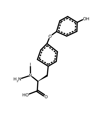 NN(I)[C@@H](Cc1ccc(Oc2ccc(O)cc2)cc1)C(=O)O